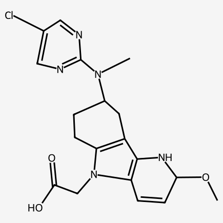 COC1C=Cc2c(c3c(n2CC(=O)O)CCC(N(C)c2ncc(Cl)cn2)C3)N1